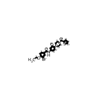 CCOc1ccc(C(=O)Nc2ccc(N3CCN(C(=O)c4cccs4)CC3)c(Cl)c2)cc1Br